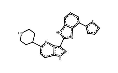 c1csc(-c2cccc3[nH]c(-c4n[nH]c5ccc(C6CCNCC6)nc45)nc23)c1